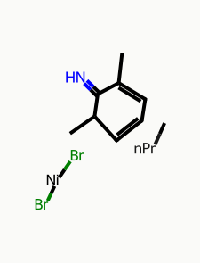 CC1=CC=CC(C)C1=N.CCCC.[Br][Ni][Br]